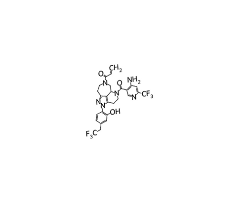 C=CC(=O)N1CCc2nn(-c3ccc(CC(F)(F)F)cc3O)c3c2C(C1)N(C(=O)c1cnc(C(F)(F)F)cc1N)CC3